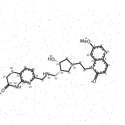 COc1cnc2ccc(=O)n(CCN3C[C@H](CNCc4ccc5c(n4)NC(=O)CS5)[C@H](O)C3)c2c1